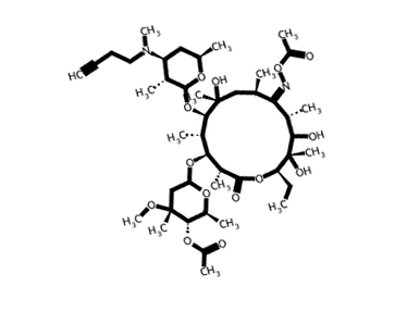 C#CCCN(C)[C@H]1C[C@@H](C)OC(O[C@@H]2[C@@H](C)[C@H](OC3C[C@@](C)(OC)[C@@H](OC(C)=O)[C@H](C)O3)[C@@H](C)C(=O)O[C@H](CC)[C@@](C)(O)C(O)[C@@H](C)/C(=N/OC(C)=O)[C@H](C)C[C@@]2(C)O)[C@@H]1C